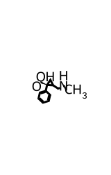 CNCC1C[C@@]1(C(=O)O)c1ccccc1